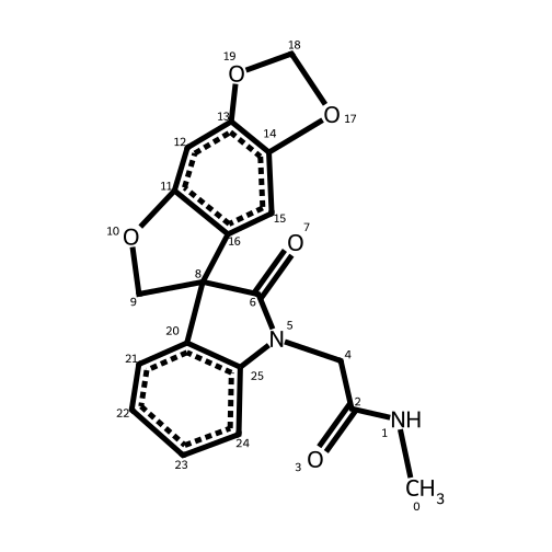 CNC(=O)CN1C(=O)C2(COc3cc4c(cc32)OCO4)c2ccccc21